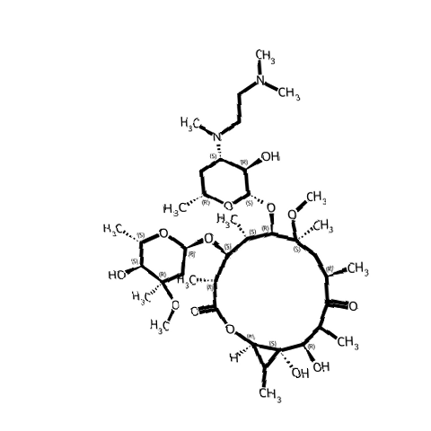 CO[C@]1(C)C[C@H](O[C@H]2[C@H](C)[C@@H](O[C@@H]3O[C@H](C)C[C@H](N(C)CCN(C)C)[C@H]3O)[C@@](C)(OC)C[C@@H](C)C(=O)C(C)[C@@H](O)[C@@]3(O)C(C)[C@H]3OC(=O)[C@@H]2C)O[C@@H](C)[C@@H]1O